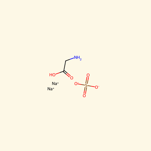 NCC(=O)O.O=S(=O)([O-])[O-].[Na+].[Na+]